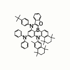 Cc1cc2c(cc1N1c3cc(N(c4ccccc4)c4ccccc4)cc4c3B(c3ccc5c(c31)C(C)(C)CCC5(C)C)c1oc3ccccc3c1N4c1ccc(C(C)(C)C)cc1)C(C)(C)CCC2(C)C